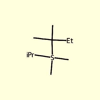 CCC(C)(C)S(C)(C)C(C)C